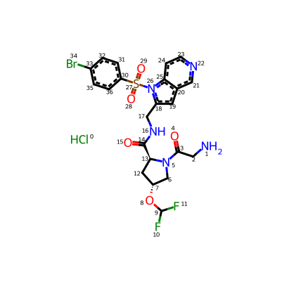 Cl.NCC(=O)N1C[C@H](OC(F)F)C[C@H]1C(=O)NCc1cc2cnccc2n1S(=O)(=O)c1ccc(Br)cc1